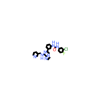 O=C(Nc1cccc(-c2cn3ccnc3c(NCc3cccnc3)n2)c1)Nc1ccc(F)c(Cl)c1